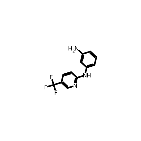 Nc1cccc(Nc2ccc(C(F)(F)F)cn2)c1